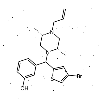 C=CCN1C[C@H](C)N(C(c2cccc(O)c2)c2cc(Br)cs2)C[C@@H]1C